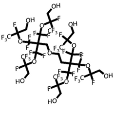 OCC(F)(OC(F)(F)C(CCOCC(C(F)(F)OC(F)(CO)C(F)(F)F)(C(F)(F)OC(F)(CO)C(F)(F)F)C(F)(F)OC(F)(CO)C(F)(F)F)(C(F)(F)OC(F)(CO)C(F)(F)F)C(F)(F)OC(F)(CO)C(F)(F)F)C(F)(F)F